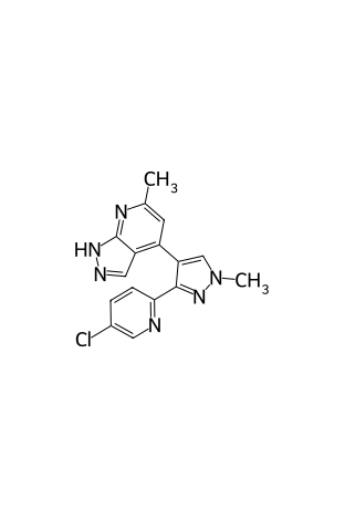 Cc1cc(-c2cn(C)nc2-c2ccc(Cl)cn2)c2cn[nH]c2n1